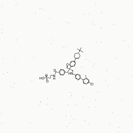 Cc1cc(Cl)ccc1-c1ccc(NC[C@](C=O)(Cc2ccc(C(=O)NCCS(=O)(=O)O)cc2)c2ccc(C3=CC[C@H](C(C)(C)C)CC3)cc2)cc1